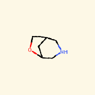 C1NCC2CC1CO2